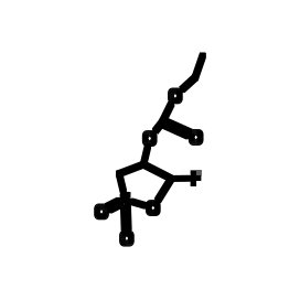 CCOC(=O)OC1CS(=O)(=O)OC1F